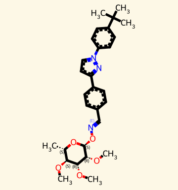 CO[C@@H]1[C@@H](OC)[C@H](C)O[C@@H](O/N=C/c2ccc(-c3ccn(-c4ccc(C(C)(C)C)cc4)n3)cc2)[C@@H]1OC